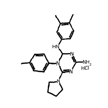 Cc1ccc(N2C(N3CCCC3)=NC(N)=NC2Nc2ccc(C)c(C)c2)cc1.Cl